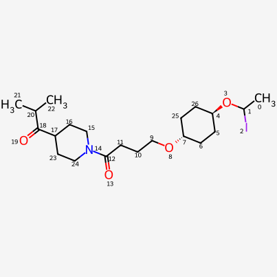 CC(I)O[C@H]1CC[C@H](OCCCC(=O)N2CCC(C(=O)C(C)C)CC2)CC1